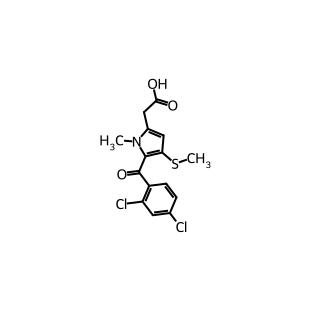 CSc1cc(CC(=O)O)n(C)c1C(=O)c1ccc(Cl)cc1Cl